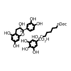 CCCCCCCCCCCCCCCC(=O)O.O=C(O)c1cc(O)c(O)c(O)c1.Oc1cc(O)c2c(c1)O[C@H](c1ccc(O)c(O)c1)[C@@H](O)C2